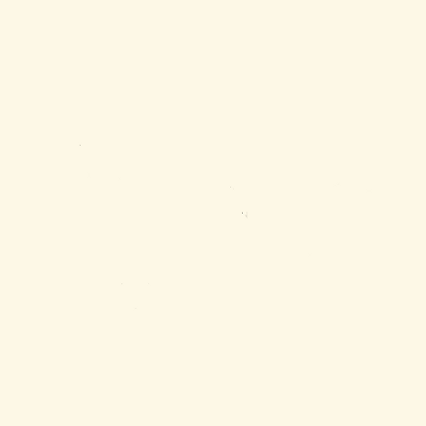 CC1(C)CCc2cc(C3(C)C(=O)N(c4cccc(C(=O)O)c4)c4ccc(C5CC5)cc43)ccc2O1